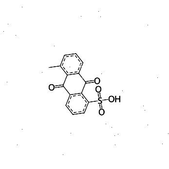 Cc1cccc2c1C(=O)c1cccc(S(=O)(=O)O)c1C2=O